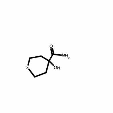 NC(=O)C1(O)CCSCC1